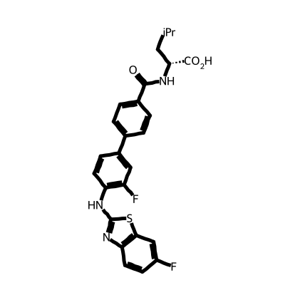 CC(C)C[C@@H](NC(=O)c1ccc(-c2ccc(Nc3nc4ccc(F)cc4s3)c(F)c2)cc1)C(=O)O